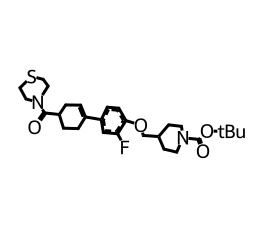 CC(C)(C)OC(=O)N1CCC(COc2ccc(C3=CCC(C(=O)N4CCSCC4)CC3)cc2F)CC1